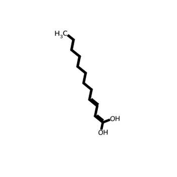 CCCCCCCCC=CC=C(O)O